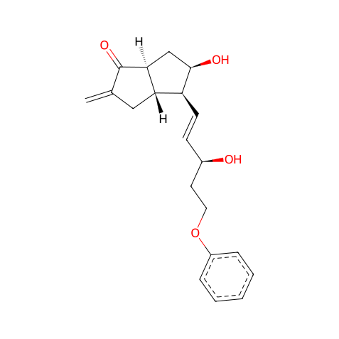 C=C1C[C@H]2[C@H](C=C[C@@H](O)CCOc3ccccc3)[C@H](O)C[C@@H]2C1=O